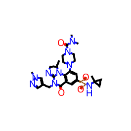 CC1CN=C2N(Cc3cnn(C)c3)C(=O)c3cc(S(=O)(=O)NC4(C)CC4)cc(N4CCN(C(=O)N(C)C)CC4)c3N21